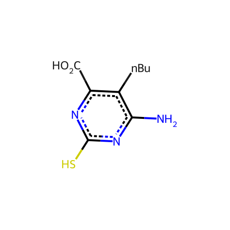 CCCCc1c(N)nc(S)nc1C(=O)O